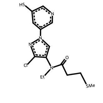 CCN(C(=O)CCSC)c1cn(-c2cncc(S)c2)nc1Cl